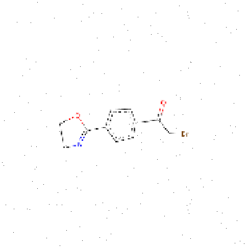 O=C(CBr)c1ccc(C2=NCCO2)cc1